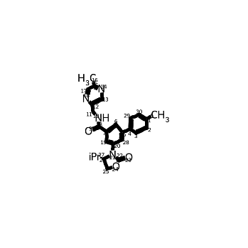 Cc1ccc(-c2cc(C(=O)NCc3cnc(C)cn3)cc(N3C(=O)OC[C@@H]3C(C)C)c2)cc1